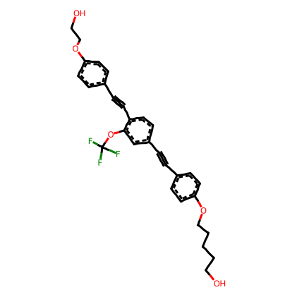 OCCCCCOc1ccc(C#Cc2ccc(C#Cc3ccc(OCCO)cc3)c(OC(F)(F)F)c2)cc1